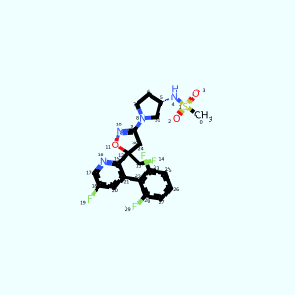 CS(=O)(=O)N[C@H]1CCN(C2=NOC(CF)(c3ncc(F)cc3-c3c(F)cccc3F)C2)C1